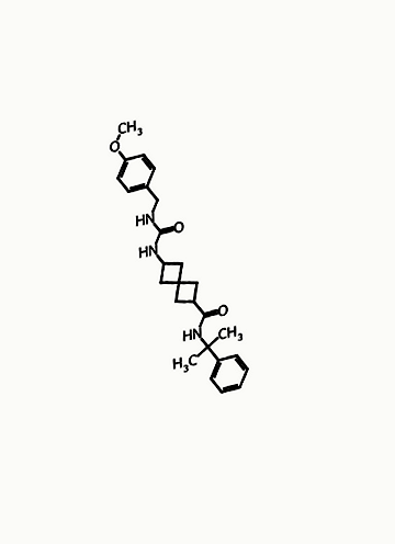 COc1ccc(CNC(=O)NC2CC3(C2)CC(C(=O)NC(C)(C)c2ccccc2)C3)cc1